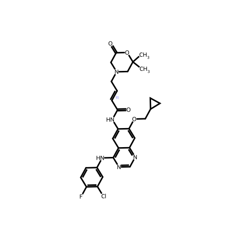 CC1(C)CN(C/C=C/C(=O)Nc2cc3c(Nc4ccc(F)c(Cl)c4)ncnc3cc2OCC2CC2)CC(=O)O1